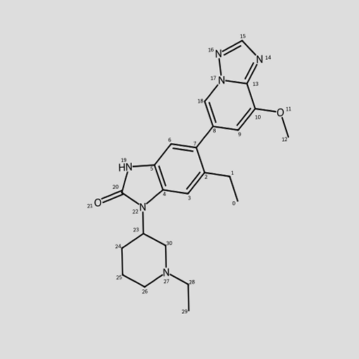 CCc1cc2c(cc1-c1cc(OC)c3ncnn3c1)[nH]c(=O)n2C1CCCN(CC)C1